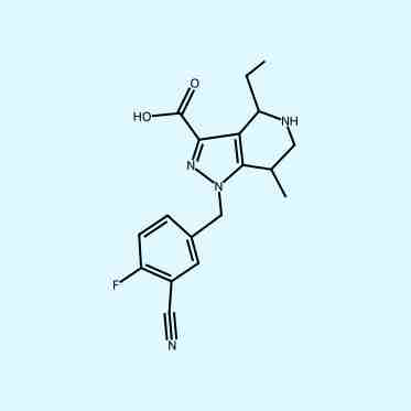 CCC1NCC(C)c2c1c(C(=O)O)nn2Cc1ccc(F)c(C#N)c1